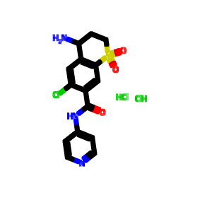 Cl.Cl.NC1CCS(=O)(=O)c2cc(C(=O)Nc3ccncc3)c(Cl)cc21